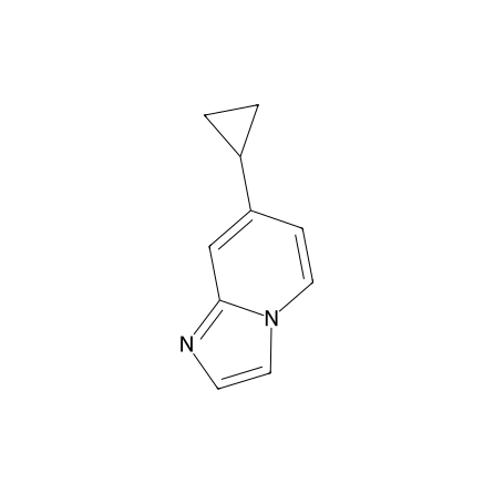 c1cn2ccc(C3CC3)cc2n1